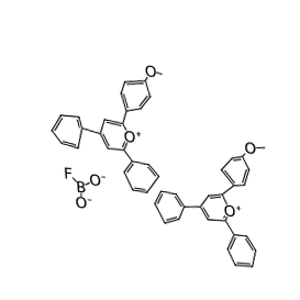 COc1ccc(-c2cc(-c3ccccc3)cc(-c3ccccc3)[o+]2)cc1.COc1ccc(-c2cc(-c3ccccc3)cc(-c3ccccc3)[o+]2)cc1.[O-]B([O-])F